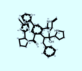 C=CCOC(O)(C1CCCN1)C(Cc1ccccc1)c1c(C(N)=O)cc(-c2ncco2)cc1C(=O)N1CCCC1c1nc(C)cs1